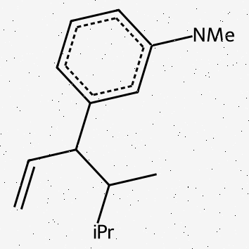 C=CC(c1cccc(NC)c1)C(C)C(C)C